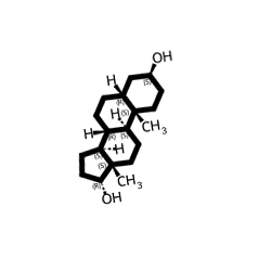 C[C@]12CC[C@H](O)C[C@H]1CC[C@@H]1[C@@H]2CC[C@]2(C)[C@H](O)CC[C@@H]12